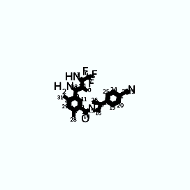 C/C(C(=N)C(F)(F)F)=C(/N)c1cc(C(=O)N2CC(c3ccc(C#N)cc3)C2)c(C)cc1C